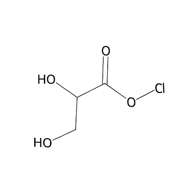 O=C(OCl)C(O)CO